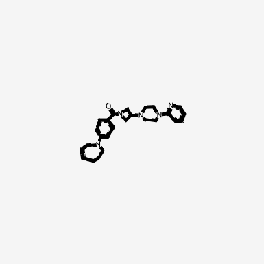 O=C(c1ccc(N2CCCCCC2)cc1)N1CC(N2CCN(c3ccccn3)CC2)C1